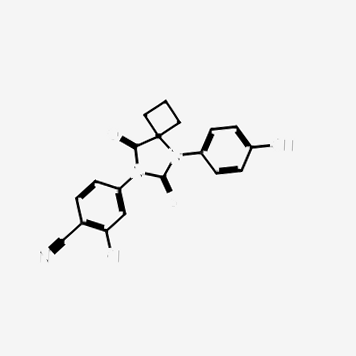 Cc1ccc(N2C(=S)N(c3ccc(C#N)c(Cl)c3)C(=O)C23CCC3)cc1